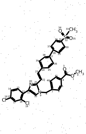 COC(=O)c1ccc(Cn2cc(-c3ccc(Cl)cc3Cl)nc2C=Cc2ccc(-c3ccc(S(C)(=O)=O)cc3)cc2)cc1